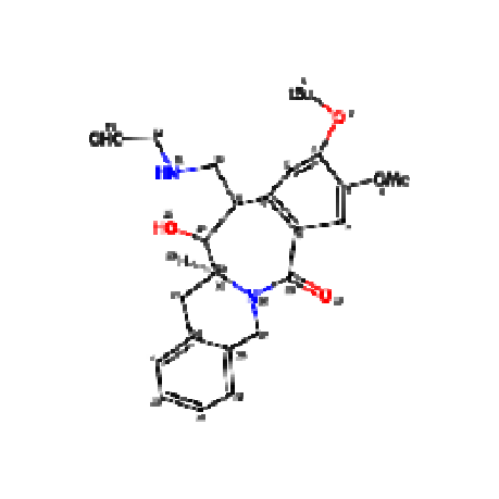 COc1cc2c(cc1OC(C)(C)C)C(CNCC=O)C(O)[C@@H]1Cc3ccccc3CN1C2=O